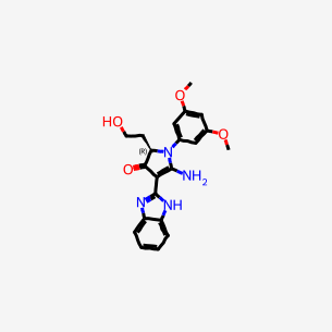 COc1cc(OC)cc(N2C(N)=C(c3nc4ccccc4[nH]3)C(=O)[C@H]2CCO)c1